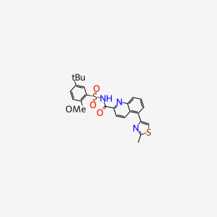 COc1ccc(C(C)(C)C)cc1S(=O)(=O)NC(=O)c1ccc2c(-c3csc(C)n3)cccc2n1